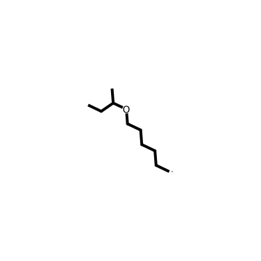 [CH2]CCCCCOC(C)CC